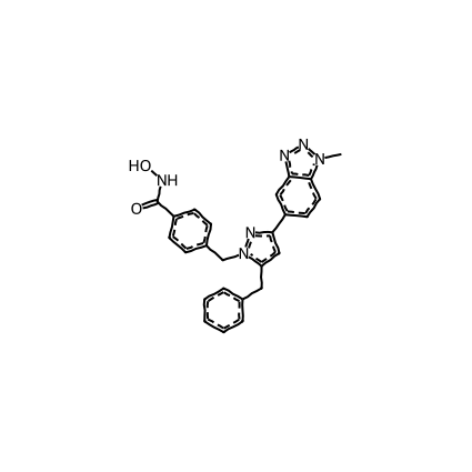 Cn1nnc2cc(-c3cc(Cc4ccccc4)n(Cc4ccc(C(=O)NO)cc4)n3)ccc21